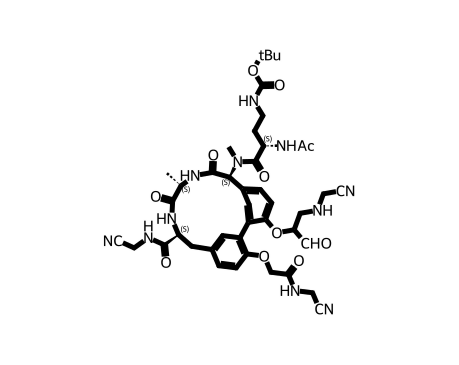 CC(=O)N[C@@H](CCNC(=O)OC(C)(C)C)C(=O)N(C)[C@@H]1C(=O)N[C@@H](C)C(=O)N[C@H](C(=O)NCC#N)Cc2ccc(OCC(=O)NCC#N)c(c2)-c2cc1ccc2OC(C=O)CNCC#N